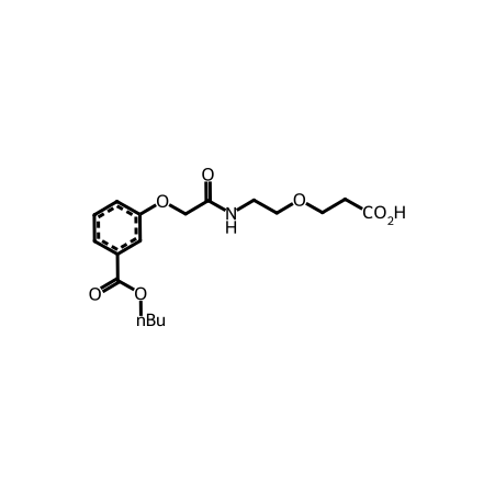 CCCCOC(=O)c1cccc(OCC(=O)NCCOCCC(=O)O)c1